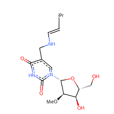 CO[C@@H]1[C@H](O)[C@@H](CO)O[C@H]1n1cc(CNC=CC(C)C)c(=O)[nH]c1=O